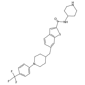 O=C(NC1CCNCC1)c1cc2ccc(CC3CCN(c4ccc(C(F)(F)F)cc4)CC3)cc2s1